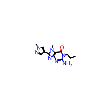 CCCn1c(N)nc2nc(-c3cnn(C)c3)n(C)c2c1=O